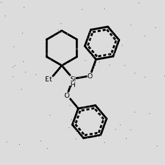 CCC1([SiH](Oc2ccccc2)Oc2ccccc2)CCCCC1